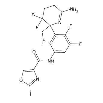 Cc1nc(C(=O)Nc2cc(F)c(F)c(C3(CF)N=C(N)CCC3(F)F)c2)co1